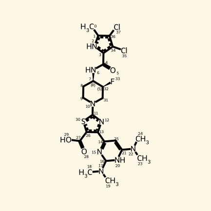 Cc1[nH]c(C(=O)N[C@@H]2CCN(c3nc(C4=NC(N(C)C)NC(N(C)C)=C4)c(C(=O)O)s3)C[C@@H]2F)c(Cl)c1Cl